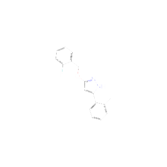 Cc1ccccc1-c1cc(OCc2ccccc2F)n[nH]1